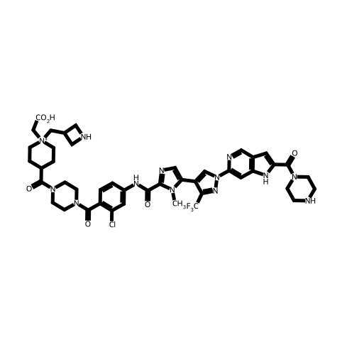 Cn1c(-c2cn(-c3cc4[nH]c(C(=O)N5CCNCC5)cc4cn3)nc2C(F)(F)F)cnc1C(=O)Nc1ccc(C(=O)N2CCN(C(=O)C3CC[N+](CC(=O)O)(CC4CNC4)CC3)CC2)c(Cl)c1